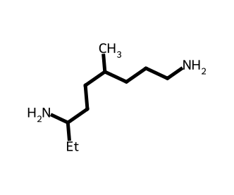 CCC(N)CCC(C)CCCN